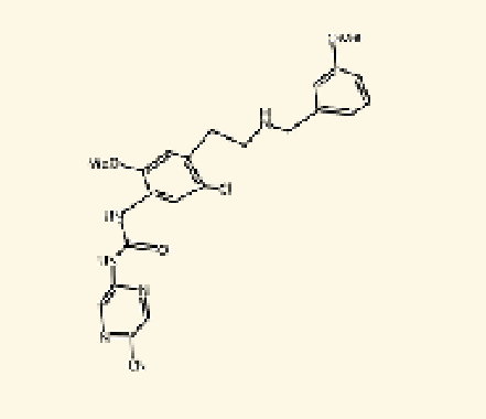 COc1cccc(CNCCc2cc(OC)c(NC(=O)Nc3cnc(C#N)cn3)cc2Cl)c1